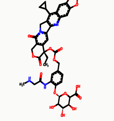 CC[C@@]1(OC(=O)OCc2ccc(O[C@@H]3OC(C(=O)O)[C@@H](O)[C@H](O)C3O)c(NC(=O)CNC)c2)C(=O)OCc2c1cc1n(c2=O)Cc2c-1nc1cc3c(cc1c2C1CC1)OCO3